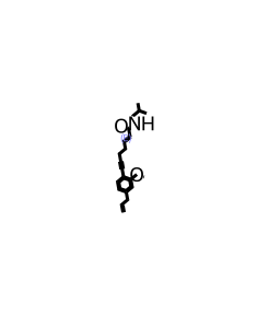 C=CCc1ccc(C#CCC/C=C/C(=O)NCC(C)C)c(OC)c1